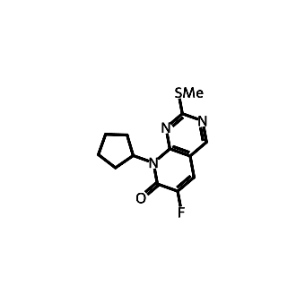 CSc1ncc2cc(F)c(=O)n(C3CCCC3)c2n1